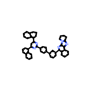 c1cc(-c2ccc(-c3nc(-c4cccc5ccccc45)cc(-c4cccc5ccccc45)n3)cc2)cc(-c2nc3c(nc4ccccn43)c3ccccc23)c1